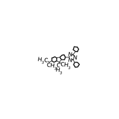 CC(C)c1ccc2c(c1)C(C)(C)c1cc(-c3nc(-c4ccccc4)nc(-c4ccccc4)n3)ccc1-2